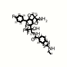 CCNc1nc2ccc(C(=O)NCC(O)(c3cc4c(c(-c5ccc(F)cc5)n3)OC[C@]4(C)C(N)=O)C(F)(F)F)cc2s1